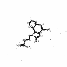 CCCCc1nc2c(N)nc3cccnc3c2n1CCNC(=N)N